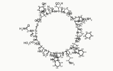 CCCC[C@H]1C(=O)N(C)[C@@H](CCCC)C(=O)N[C@@H](CCC(=O)O)C(=O)N[C@H](C(=O)NCC(N)=O)CSCC(=O)N[C@@H](Cc2ccc(O)cc2)C(=O)N(C)[C@@H](C)C(=O)N[C@@H](CCC(=O)O)C(=O)N2CCC[C@H]2C(=O)N[C@@H](Cc2c[nH]cn2)C(=O)N[C@@H](CCCCN)C(=O)N2C[C@H](c3ccccc3)C[C@H]2C(=O)N[C@@H](Cc2c[nH]c3ccccc23)C(=O)N[C@@H](CCCCN)C(=O)N[C@@H](Cc2c[nH]c3ccccc23)C(=O)N1C